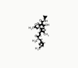 Cc1nn2c(O)c(C(=O)NC3CC3)c(=O)n(CC(C)C)c2c1C=CC(=O)N(C)Cc1ccn(C)n1